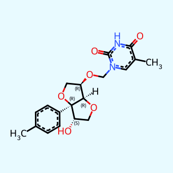 Cc1ccc([C@]23OC[C@@H](OCn4cc(C)c(=O)[nH]c4=O)[C@H]2OC[C@@H]3O)cc1